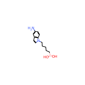 Nc1ccc2c(ccn2CCCCCB(O)O)c1